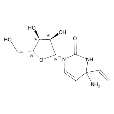 C=CC1(N)C=CN([C@@H]2O[C@H](CO)[C@@H](O)[C@H]2O)C(=O)N1